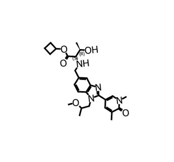 COC(C)Cn1c(-c2cc(C)c(=O)n(C)c2)nc2cc(CN[C@H](C(=O)OC3CCC3)[C@@H](C)O)ccc21